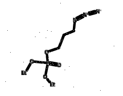 CCOP(=O)(OCC)OCCCN=[N+]=[N-]